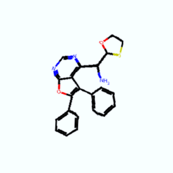 NC(c1ncnc2oc(-c3ccccc3)c(-c3ccccc3)c12)C1OCCS1